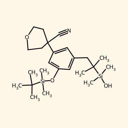 CC(C)(Cc1cc(O[Si](C)(C)C(C)(C)C)cc(C2(C#N)CCOCC2)c1)[Si](C)(C)O